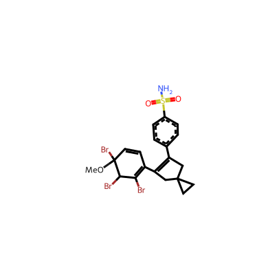 COC1(Br)C=CC(C2=C(c3ccc(S(N)(=O)=O)cc3)CC3(CC3)C2)=C(Br)C1Br